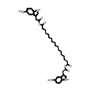 O=C(CCCCCCCCCCCCCCCCC(=O)OC(=O)Cc1c[nH]c2ccc(O)cc12)OC(=O)Cc1c[nH]c2ccc(O)cc12